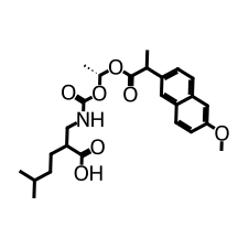 COc1ccc2cc(C(C)C(=O)O[C@@H](C)OC(=O)NCC(CCC(C)C)C(=O)O)ccc2c1